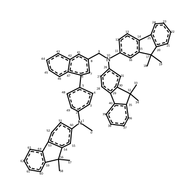 CN(c1ccc(-c2cc(CN(c3ccc4c(c3)C(C)(C)c3ccccc3-4)c3ccc4c(c3)C(C)(C)c3ccccc3-4)cc3ccccc23)cc1)c1ccc2c(c1)C(C)(C)c1ccccc1-2